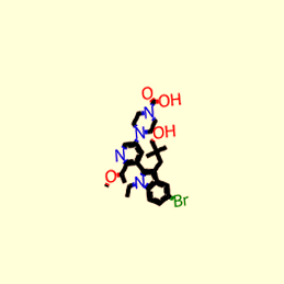 CCn1c(-c2cc(N3CCN(C(=O)O)CC3)cnc2C(C)OC)c(CC(C)(C)CO)c2cc(Br)ccc21